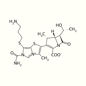 Cc1c(C2=C(C(=O)[O-])N3C(=O)[C@H]([C@@H](C)O)[C@H]3[C@H]2C)sc2c(SCCCN)n(C(N)=O)c[n+]12